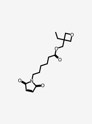 CCC1(COC(=O)CCCCCN2C(=O)C=CC2=O)COC1